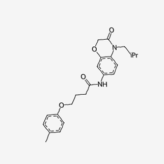 Cc1ccc(OCCCC(=O)Nc2ccc3c(c2)OCC(=O)N3CC(C)C)cc1